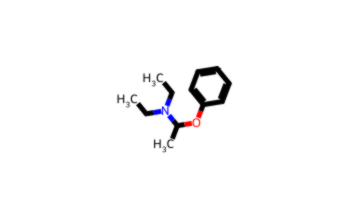 CCN(CC)C(C)Oc1cc[c]cc1